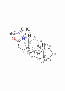 CCCCN(C=O)[N+]1(C)C(=O)CC[C@@]2(C)[C@H]1CC[C@H]1[C@@H]3CCC[C@@]3(C)CC[C@@H]12